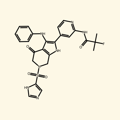 CC(C)(F)C(=O)Nc1cc(-c2[nH]c3c(c2Nc2ccccc2)C(=O)CN(S(=O)(=O)c2cnc[nH]2)C3)ccn1